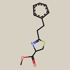 COC(=O)C1CSC(CCc2ccccc2)=N1